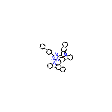 c1ccc(-c2ccc(-c3nc(-c4ccccc4)nc(-n4c5ccccc5c5cc6ccccc6c(-c6ccc7c(c6)c6ccccc6n7-c6ccc7ccccc7c6)c54)n3)cc2)cc1